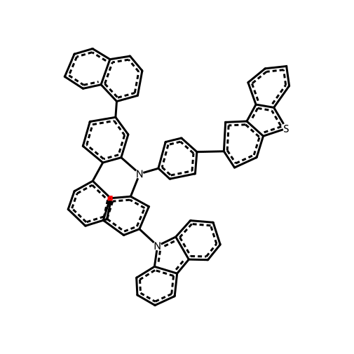 c1ccc(-c2ccc(-c3cccc4ccccc34)cc2N(c2ccc(-c3ccc4sc5ccccc5c4c3)cc2)c2cccc(-n3c4ccccc4c4ccccc43)c2)cc1